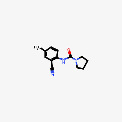 Cc1ccc(NC(=O)N2CCCC2)c(C#N)c1